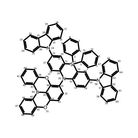 c1ccc([Si]2(c3ccccc3)c3cc(-n4c5ccccc5c5ccccc54)ccc3N(c3ccc4c5c3Oc3ccccc3B5c3ccccc3O4)c3ccc(-n4c5ccccc5c5ccccc54)cc32)cc1